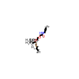 CC(C)C#CCNC(=O)COCCOC(SSCCCC(C)C)C(C)[Si](C)(C)C